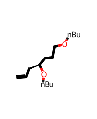 C=CC[C@@H](CCCOCCCC)OCCCC